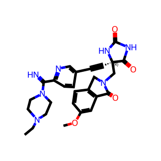 CCN1CCN(C(=N)c2ccc(C#C[C@]3(CN4Cc5ccc(OC)cc5C4=O)NC(=O)NC3=O)cn2)CC1